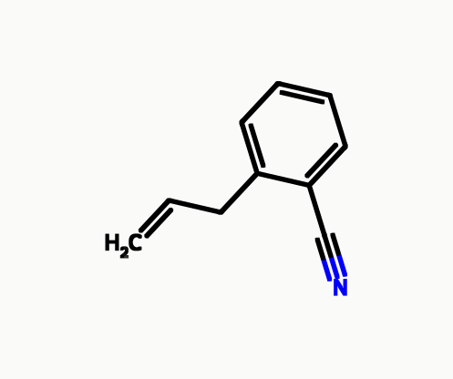 C=CCc1ccccc1C#N